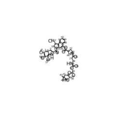 COc1cc2cc(C(=O)N3C[C@@H](CCl)c4c3cc(OC(=O)C3CCN(C(=O)CCNC(=O)OCC(OC)OC(CO)CC(C)(C)C)C3)c3ccccc43)[nH]c2c(OC)c1OC